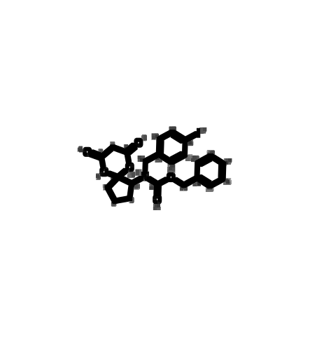 O=C1CC(=O)OC2(CCCC2N(Cc2ccc(I)cc2)C(=O)OCc2ccccc2)O1